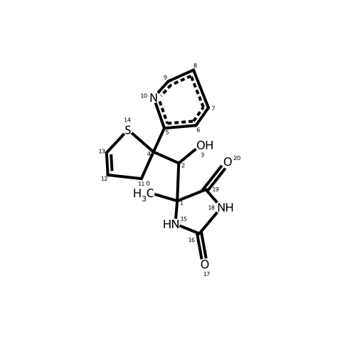 CC1(C(O)C2(c3ccccn3)CC=CS2)NC(=O)NC1=O